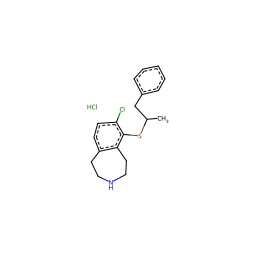 CC(Cc1ccccc1)Sc1c(Cl)ccc2c1CCNCC2.Cl